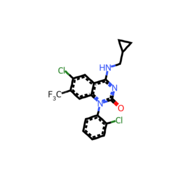 O=c1nc(NCC2CC2)c2cc(Cl)c(C(F)(F)F)cc2n1-c1ccccc1Cl